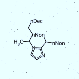 CCCCCCCCCCCCC(C)n1ccnc1C(CCCCCCCCC)CCCCCCCCC